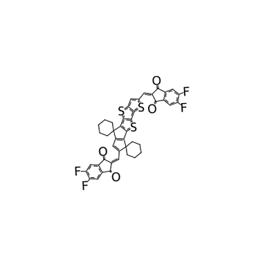 O=C1C(=CC2=CC3=C(c4sc5c(sc6cc(C=C7C(=O)c8cc(F)c(F)cc8C7=O)sc65)c4C34CCCCC4)C23CCCCC3)C(=O)c2cc(F)c(F)cc21